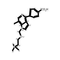 Cc1cnc(-c2ccc(C(=O)O)cc2)c2ccn(COCC[Si](C)(C)C)c12